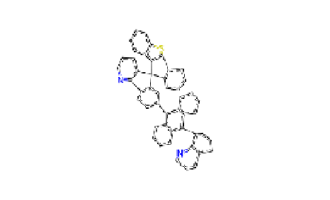 c1ccc2c(c1)-c1sc3ccccc3c1C21c2cc(-c3c4ccccc4c(-c4cccc5cccnc45)c4ccccc34)ccc2-c2ncccc21